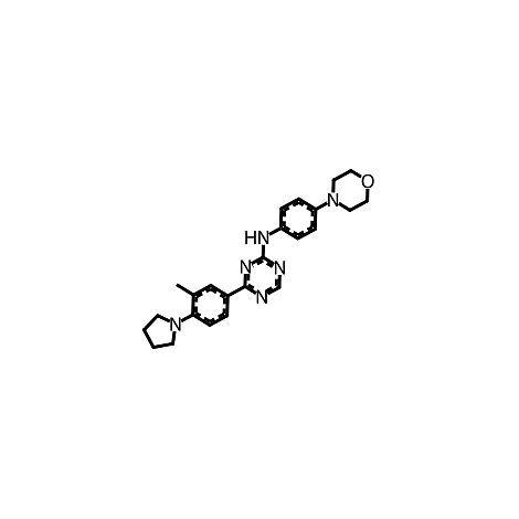 Cc1cc(-c2ncnc(Nc3ccc(N4CCOCC4)cc3)n2)ccc1N1CCCC1